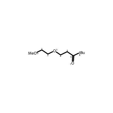 COCCOCCC(=O)C(C)(C)C